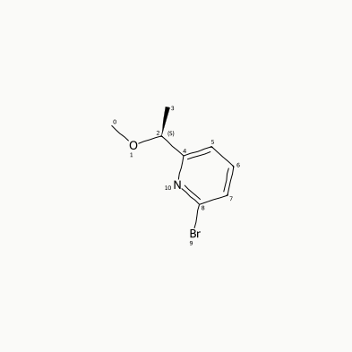 CO[C@@H](C)c1cccc(Br)n1